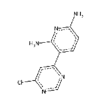 Nc1ccc(-c2cc(Cl)ncn2)c(N)n1